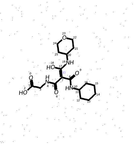 O=C(O)CNC(=O)/C(C(=O)NC1CCCCC1)=C(\O)NC1CCOCC1